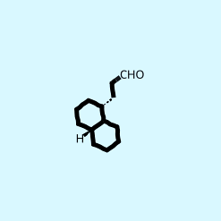 O=CCC[C@H]1CCC[C@H]2CCCCC21